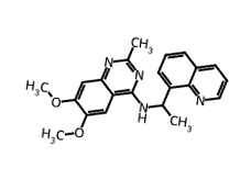 COc1cc2nc(C)nc(NC(C)c3cccc4cccnc34)c2cc1OC